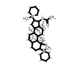 CC(=O)OC1C([N+]2(C)CCCCC2)C[C@H]2[C@@H]3CCC4CCC([N+]5(C)CCCCC5)C(Br)(Br)[C@]4(C)[C@@H]3CC[C@]12C